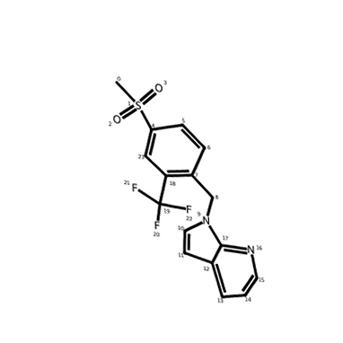 CS(=O)(=O)c1ccc(Cn2ccc3cccnc32)c(C(F)(F)F)c1